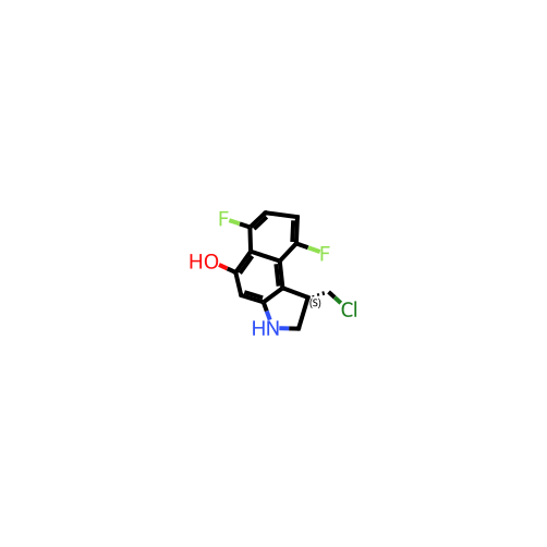 Oc1cc2c(c3c(F)ccc(F)c13)[C@H](CCl)CN2